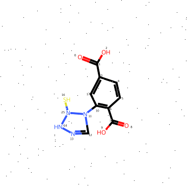 O=C(O)c1ccc(C(=O)O)c(N2C=NNN2S)c1